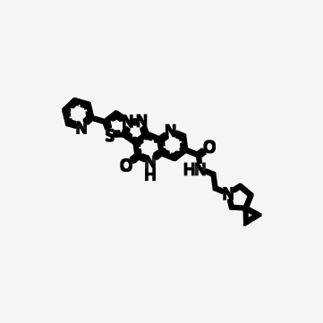 O=C(NCCN1CCC2(CC2)C1)c1cnc2c(c1)[nH]c(=O)c1c2nn2cc(-c3ccccn3)sc12